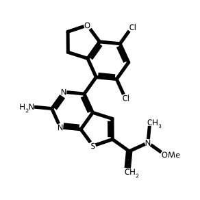 C=C(c1cc2c(-c3c(Cl)cc(Cl)c4c3CCO4)nc(N)nc2s1)N(C)OC